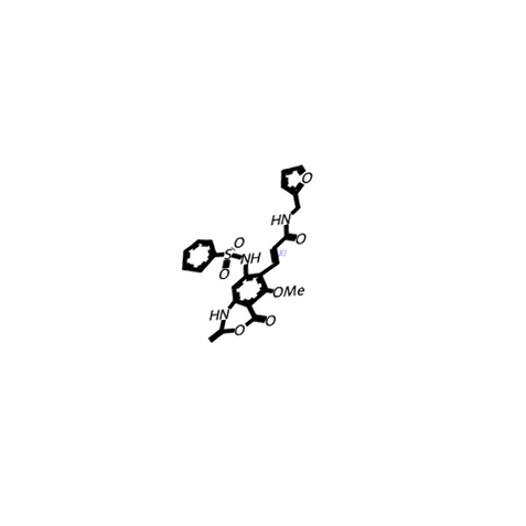 C=C1Nc2cc(NS(=O)(=O)c3ccccc3)c(/C=C/C(=O)NCc3ccco3)c(OC)c2C(=O)O1